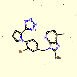 CCCCc1nc2c(C)ccnc2n1Cc1ccc(-n2cccc2-c2nnn[nH]2)c(Br)c1